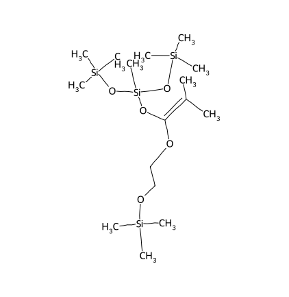 CC(C)=C(OCCO[Si](C)(C)C)O[Si](C)(O[Si](C)(C)C)O[Si](C)(C)C